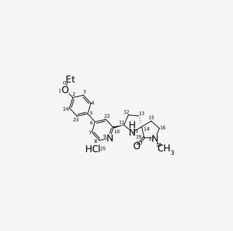 CCOc1ccc(-c2ccnc([C@H]3CC[C@@]4(CCN(C)C4=O)N3)c2)cc1.Cl